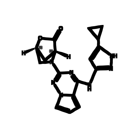 O=C1O[C@H]2C[C@H]1N(c1nc(Nc3cc(C4CC4)[nH]n3)c3cccn3n1)C2